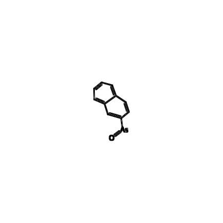 O=[As]c1ccc2ccccc2c1